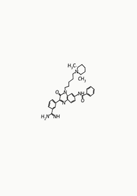 C[C@@H]1CCC[C@H](C)N1CCCCCn1c(=O)c(-c2cccc(C(=N)N)c2)nc2ccc(NC(=O)c3ccccc3)cc21